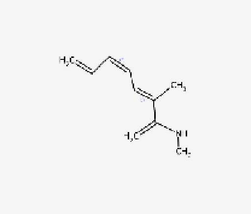 C=C/C=C\C=C(/C)C(=C)NC